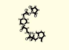 CC1CCCC(C)N1CC(C)(C)C(=O)NCCC(=O)N1CCN(CC(=O)ON2C(=O)CCC2=O)CC1